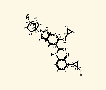 O=C(Nc1cccn([C@H]2C[C@H]2F)c1=O)c1cc2cn([C@]34CC[C@H](C3)OC4)nc2nc1OC1CC1